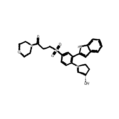 O=C(CCS(=O)(=O)c1ccc(N2CC[C@H](O)C2)c(-c2cc3ccccc3[nH]2)c1)N1CCOCC1